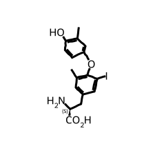 Cc1cc(Oc2c(C)cc(C[C@H](N)C(=O)O)cc2I)ccc1O